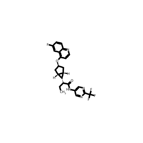 CCC(C(=O)Nc1cnc(C(F)(F)F)nc1)[C@@H]1[C@@H]2C[C@@H](Oc3ccnc4ccc(F)cc34)C[C@@H]21